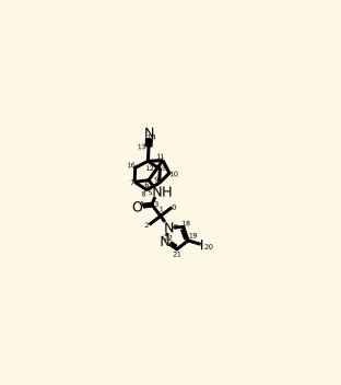 CC(C)(C(=O)NC1C2CC3CC1C(C#N)(C3)C2)n1cc(I)cn1